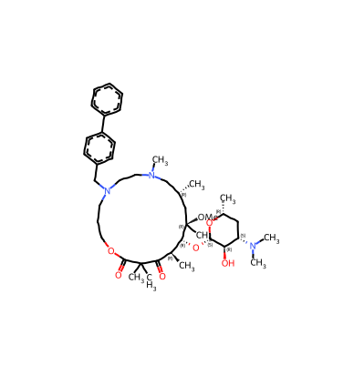 CO[C@]1(C)C[C@@H](C)CN(C)CCN(Cc2ccc(-c3ccccc3)cc2)CCCOC(=O)C(C)(C)C(=O)[C@H](C)[C@H]1O[C@@H]1O[C@H](C)C[C@H](N(C)C)[C@H]1O